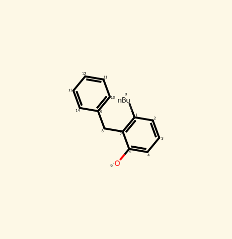 CCCCc1cccc([O])c1Cc1ccccc1